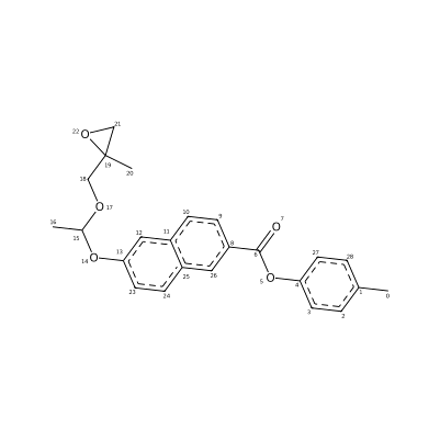 Cc1ccc(OC(=O)c2ccc3cc(OC(C)OCC4(C)CO4)ccc3c2)cc1